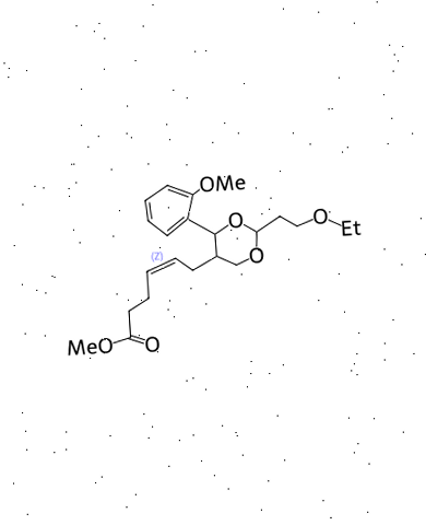 CCOCCC1OCC(C/C=C\CCC(=O)OC)C(c2ccccc2OC)O1